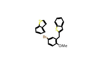 COc1ccc(Br)cc1Cc1cc2ccccc2s1.c1ccc2sccc2c1